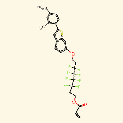 C=CC(=O)OCCC(F)(F)C(F)(F)C(F)(F)C(F)(F)CCOc1ccc2cc(-c3ccc(CCCCC)cc3C(F)(F)F)sc2c1